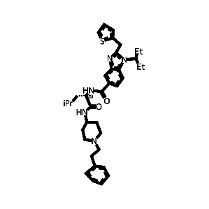 CCC(CC)n1c(Cc2cccs2)nc2cc(C(=O)N[C@@H](CC(C)C)C(=O)NC3CCN(CCc4ccccc4)CC3)ccc21